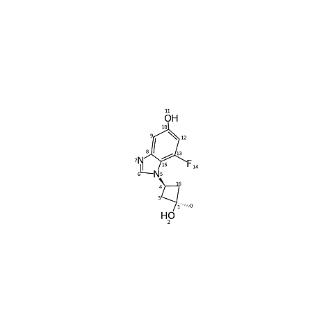 C[C@]1(O)C[C@@H](n2cnc3cc(O)cc(F)c32)C1